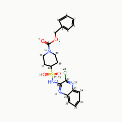 O=C(OCc1ccccc1)N1CCC(S(=O)(=O)Nc2nc3ccccc3nc2Cl)CC1